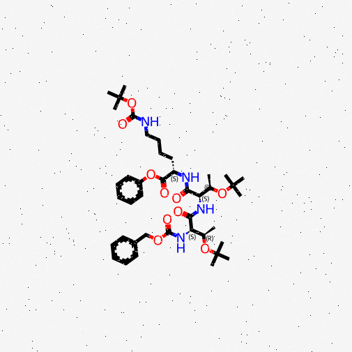 C[C@@H](OC(C)(C)C)[C@H](NC(=O)OCc1ccccc1)C(=O)N[C@H](C(=O)N[C@@H](CCCCNC(=O)OC(C)(C)C)C(=O)Oc1ccccc1)[C@@H](C)OC(C)(C)C